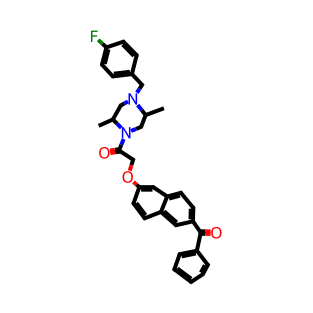 CC1CN(C(=O)COc2ccc3cc(C(=O)c4ccccc4)ccc3c2)C(C)CN1Cc1ccc(F)cc1